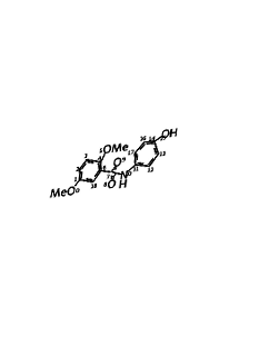 COc1ccc(OC)c(S(=O)(=O)Nc2ccc(O)cc2)c1